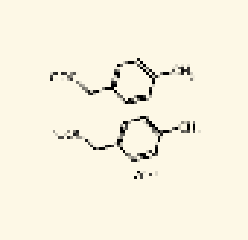 Cc1ccc(CC(=O)[O-])cc1.Cc1ccc(CC(=O)[O-])cc1.[Zn+2]